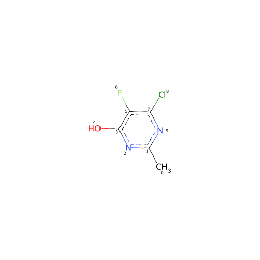 Cc1nc(O)c(F)c(Cl)n1